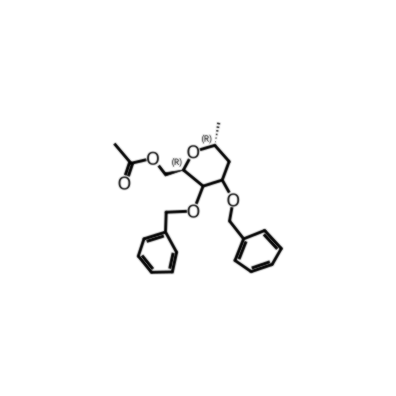 CC(=O)OC[C@H]1O[C@H](C)CC(OCc2ccccc2)C1OCc1ccccc1